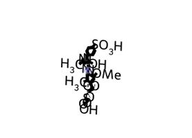 COc1cc(S(=O)(=O)CCOSOOO)c(C)cc1/N=N/c1c(C)nn(-c2ccc(S(=O)(=O)O)cc2)c1O